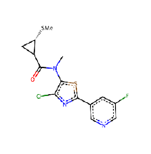 CS[C@H]1CC1C(=O)N(C)c1sc(-c2cncc(F)c2)nc1Cl